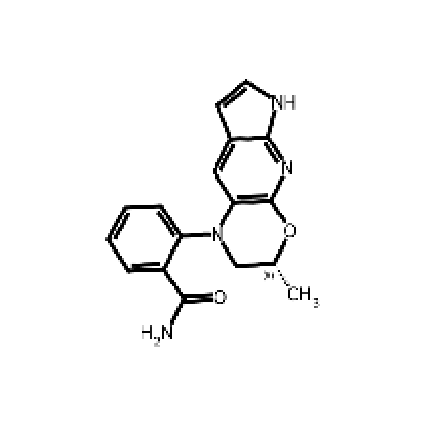 C[C@@H]1CN(c2ccccc2C(N)=O)c2cc3cc[nH]c3nc2O1